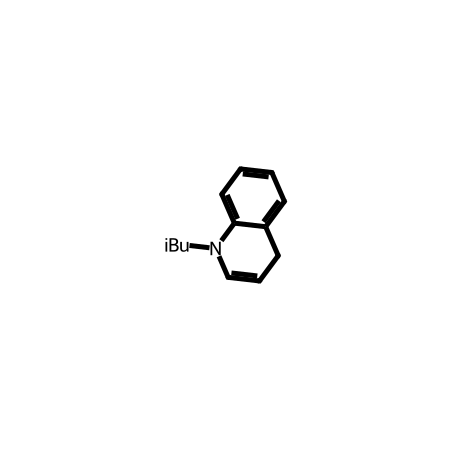 CCC(C)N1C=CCc2ccccc21